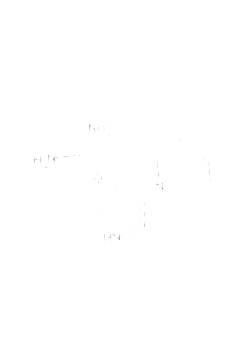 NC(N)=O.c1cc[nH]c1.c1ccncc1